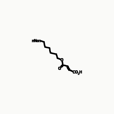 CCCCCCCCCCCCCCCOC(=O)C=CC(=O)O